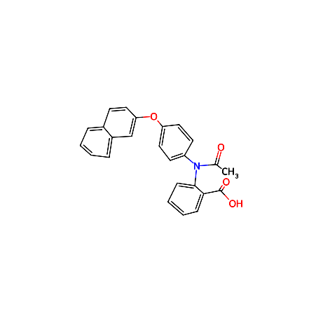 CC(=O)N(c1ccc(Oc2ccc3ccccc3c2)cc1)c1ccccc1C(=O)O